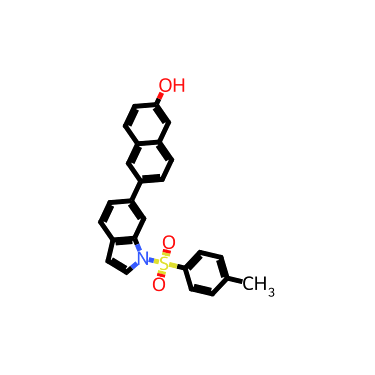 Cc1ccc(S(=O)(=O)n2ccc3ccc(-c4ccc5cc(O)ccc5c4)cc32)cc1